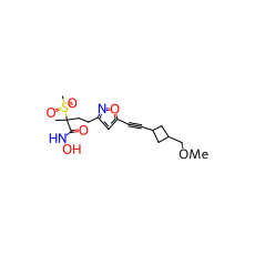 COCC1CC(C#Cc2cc(CCC(C)(C(=O)NO)S(C)(=O)=O)no2)C1